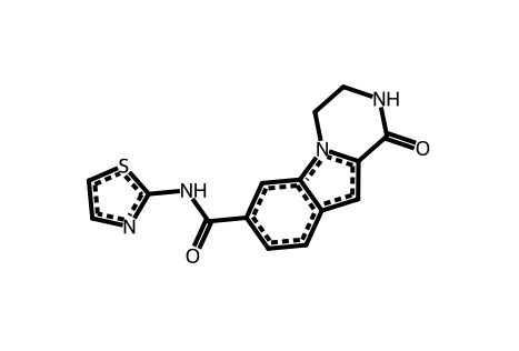 O=C(Nc1nccs1)c1ccc2cc3n(c2c1)CCNC3=O